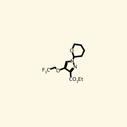 CCOC(=O)c1nn(C2CCCCO2)cc1OCC(F)(F)F